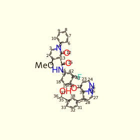 COc1ccn(-c2ccccc2)c(=O)c1C(=O)Nc1ccc(Oc2ccnn3ccc(-c4cccc(C(C)O)c4)c23)c(F)c1